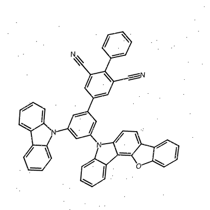 N#Cc1cc(-c2cc(-n3c4ccccc4c4ccccc43)cc(-n3c4ccccc4c4c5oc6ccccc6c5ccc43)c2)cc(C#N)c1-c1ccccc1